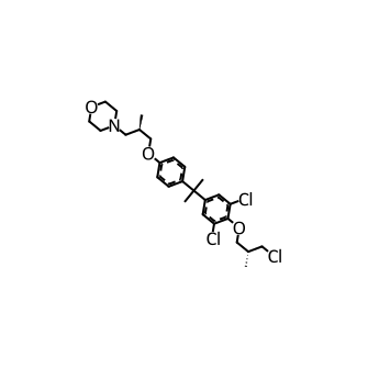 C[C@@H](CCl)COc1c(Cl)cc(C(C)(C)c2ccc(OC[C@H](C)CN3CCOCC3)cc2)cc1Cl